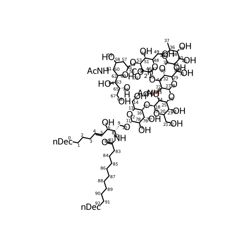 CCCCCCCCCCCCC/C=C/[C@@H](O)[C@H](CO[C@@H]1OC(CO)[C@@H](O[C@@H]2OC(CO)[C@H](O)[C@H](O[C@@H]3OC(CO)[C@@H](O[C@H]4OC(C)[C@@H](O)C(O)[C@@H]4O)[C@H](O[C@@H]4OC(CO)[C@H](O)[C@H](O[C@]5(C(=O)O)CC(O)[C@@H](NC(C)=O)C([C@H](O)[C@H](O)CO)O5)C4O)C3NC(C)=O)C2O)[C@H](O)C1O)NC(=O)CCCCCCCCCCCCCCCCCCC